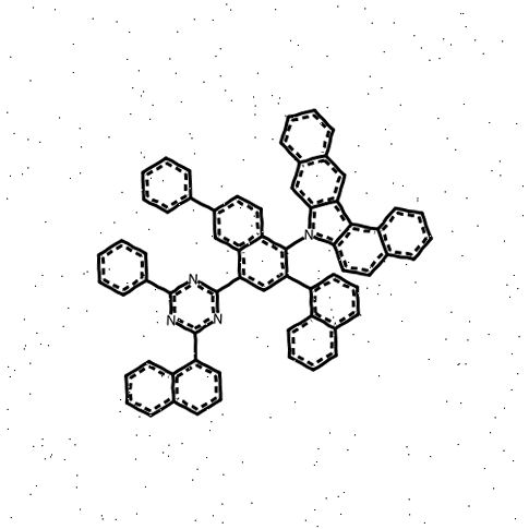 c1ccc(-c2ccc3c(-n4c5cc6ccccc6cc5c5c6ccccc6ccc54)c(-c4cccc5ccccc45)cc(-c4nc(-c5ccccc5)nc(-c5cccc6ccccc56)n4)c3c2)cc1